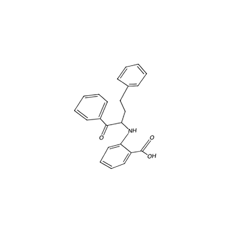 O=C(O)c1ccccc1NC(CCc1ccccc1)C(=O)c1ccccc1